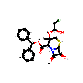 CC1(OC(O)CCl)CSC2C(=O)C(=O)N2C1C(=O)OC(c1ccccc1)c1ccccc1